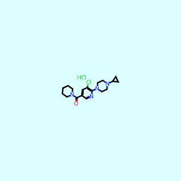 Cl.O=C(c1cnc(N2CCN(C3CC3)CC2)c(Cl)c1)N1CCCCC1